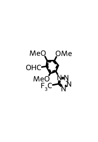 COc1cc(-n2nnnc2C(F)(F)F)c(OC)c(C=O)c1OC